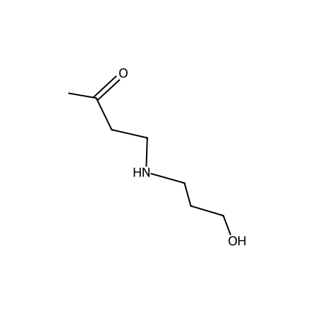 CC(=O)CCNCCCO